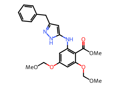 COCOc1cc(Nc2cc(Cc3ccccc3)n[nH]2)c(C(=O)OC)c(OCOC)c1